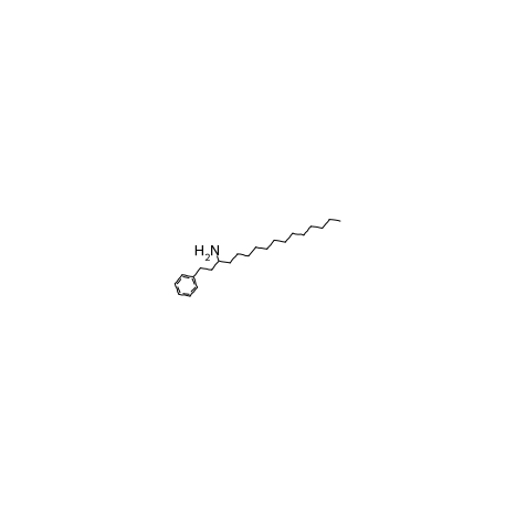 CCCCCCCCCCCCCC(N)CCc1ccccc1